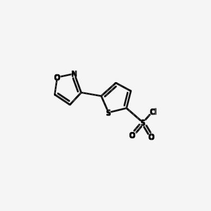 O=S(=O)(Cl)c1ccc(-c2ccon2)s1